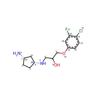 N[C@H]1CC[C@@H](NCC(O)COc2ccc(Cl)c(F)c2)C1